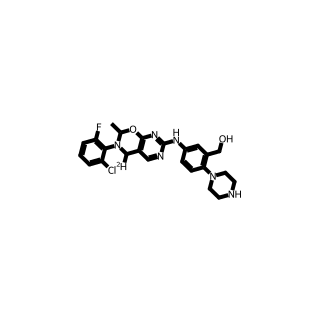 [2H]C1c2cnc(Nc3ccc(N4CCNCC4)c(CO)c3)nc2OC(C)N1c1c(F)cccc1Cl